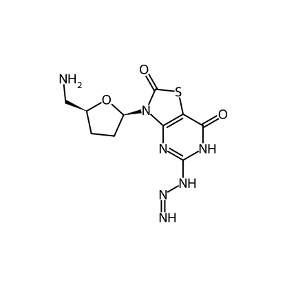 N=NNc1nc2c(sc(=O)n2[C@H]2CC[C@@H](CN)O2)c(=O)[nH]1